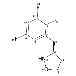 CC1C(C[C@H]2CCON2)=CC(F)=CC1F